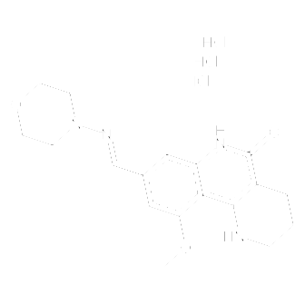 COc1cc(C=NN2CCOCC2)cc2[nH]c(=O)c3c(c12)NCCC3.Cl.Cl.Cl